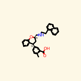 Cc1ccc([C@@H]2C[C@H](CNCCc3cccc4ccccc34)Oc3ccccc32)cc1C(=O)O